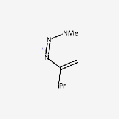 C=C(/N=N\NC)C(C)C